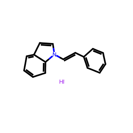 C(=Cn1ccc2ccccc21)c1ccccc1.I